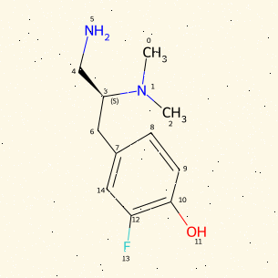 CN(C)[C@H](CN)Cc1ccc(O)c(F)c1